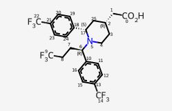 O=C(O)C[C@@H]1CCN([C@H](CCC(F)(F)F)c2ccc(C(F)(F)F)cc2)[C@H](c2ccc(C(F)(F)F)cc2)C1